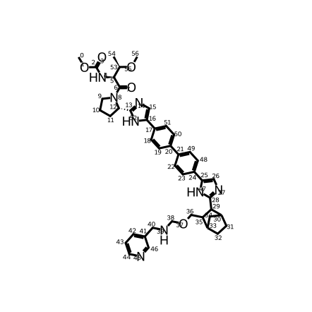 COC(=O)N[C@H](C(=O)N1CCC[C@H]1c1ncc(-c2ccc(-c3ccc(-c4cnc(C5C6CCC(C6)C5COCNCc5cccnc5)[nH]4)cc3)cc2)[nH]1)[C@@H](C)OC